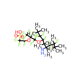 CC(C)(C)C(C)(F)C(F)(F)C(C)(N)C(C)(C)C(F)(OC(F)(F)C(F)(OC(F)(F)C(F)(F)S(=O)(=O)O)C(F)(F)F)C(F)(F)C(C)(C)C